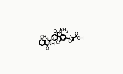 CN1CCCc2c1nc(N1CCC3(CC1)C(=O)N(C)c1cc(-c4nc(C(=O)O)co4)cc(Cl)c13)[nH]c2=O